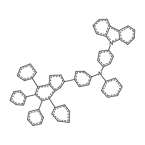 c1ccc(-c2c(-c3ccccc3)c(-c3ccccc3)c3cc(-c4ccc(N(c5ccccc5)c5ccc(-n6c7ccccc7c7ccccc76)cc5)cc4)ccc3c2-c2ccccc2)cc1